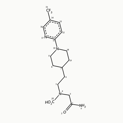 NC(=O)CN(CCC1CCN(c2ccc(C(F)(F)F)cn2)CC1)C(=O)O